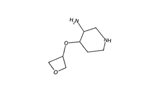 NC1CNCCC1OC1COC1